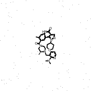 Cc1cc2[nH]c(=O)c3cnn(C4CCOCC4)c3c2cc1C(=O)N1CCN(Cc2cccnc2N(C)C)[C@@H](C)C1